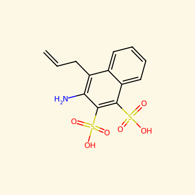 C=CCc1c(N)c(S(=O)(=O)O)c(S(=O)(=O)O)c2ccccc12